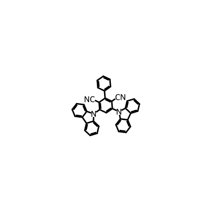 N#Cc1c(-n2c3ccccc3c3ccccc32)cc(-n2c3ccccc3c3ccccc32)c(C#N)c1-c1ccccc1